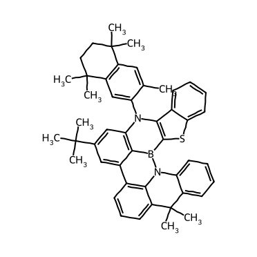 Cc1cc2c(cc1N1c3cc(C(C)(C)C)cc4c3B(c3sc5ccccc5c31)N1c3ccccc3C(C)(C)c3cccc-4c31)C(C)(C)CCC2(C)C